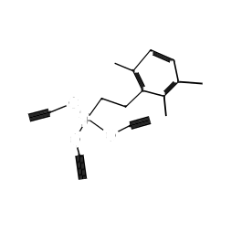 C#CO[Si](CCc1c(C)ccc(C)c1C)(OC#C)OC#C